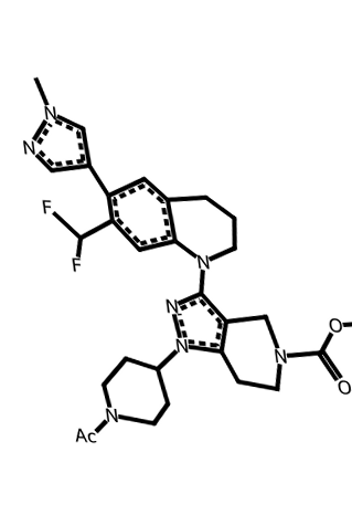 CC(=O)N1CCC(n2nc(N3CCCc4cc(-c5cnn(C)c5)c(C(F)F)cc43)c3c2CCN(C(=O)OC(C)(C)C)C3)CC1